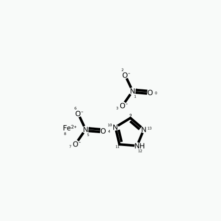 O=[N+]([O-])[O-].O=[N+]([O-])[O-].[Fe+2].c1nc[nH]n1